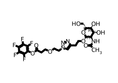 CC(=O)N[C@H]1[C@H](OCCc2cn(CCOCCC(=O)Oc3c(F)c(F)c(F)c(F)c3F)nn2)O[C@H](CO)[C@H](O)[C@@H]1O